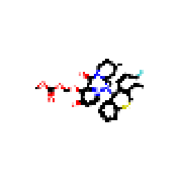 CCC1=C(/C=C\CF)[C@H](N2[C@@H]3C[C@H](C)CCN3C(=O)c3c(OCOC(=O)OC)c(=O)ccn32)c2ccccc2SC1